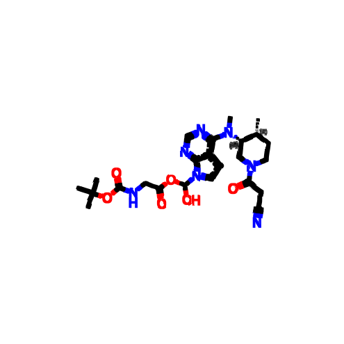 C[C@@H]1CCN(C(=O)CC#N)C[C@@H]1N(C)c1ncnc2c1ccn2C(O)OC(=O)CNC(=O)OC(C)(C)C